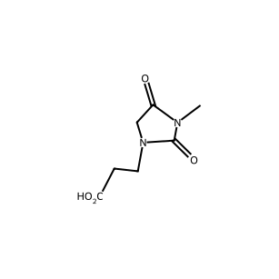 CN1C(=O)CN(CCC(=O)O)C1=O